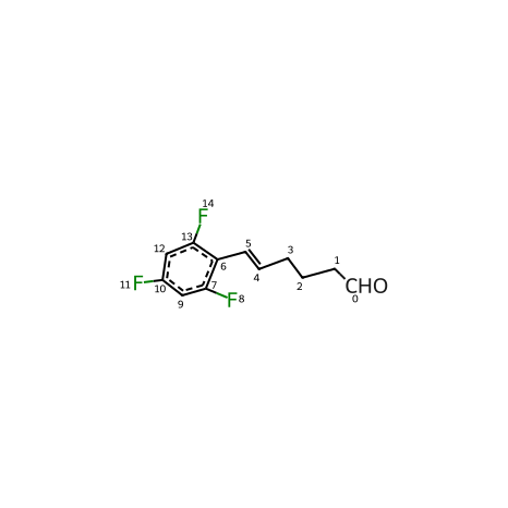 O=CCCCC=Cc1c(F)cc(F)cc1F